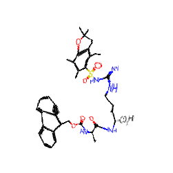 Cc1c(C)c(S(=O)(=O)NC(=N)NCCC[C@@H](NC(=O)[C@@H](C)NC(=O)OCC2c3ccccc3-c3ccccc32)C(=O)O)c(C)c2c1OC(C)(C)C2